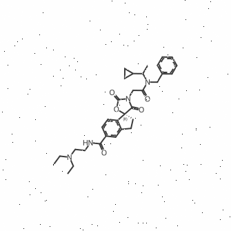 CCN(CC)CCNC(=O)c1ccc2c(c1)CC[C@@]21OC(=O)N(CC(=O)N(Cc2ccccc2)C(C)C2CC2)C1=O